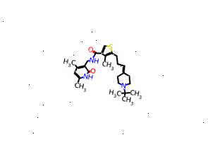 Cc1cc(C)c(CNC(=O)c2csc(CCC=C3CCN(C(C)(C)C)CC3)c2C)c(=O)[nH]1